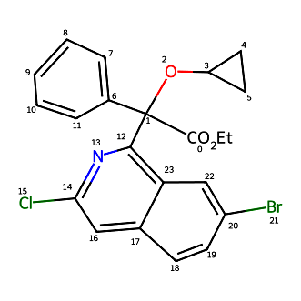 CCOC(=O)C(OC1CC1)(c1ccccc1)c1nc(Cl)cc2ccc(Br)cc12